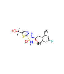 CN=S(=O)(NC(=O)CC1=C(C(C)C)C=C(F)CC1C(C)C)c1ncc(C(C)(C)O)s1